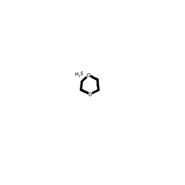 C1COCCO1.S